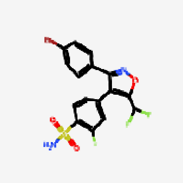 NS(=O)(=O)c1ccc(-c2c(-c3ccc(Br)cc3)noc2C(F)F)cc1F